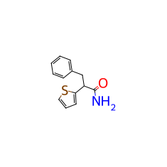 NC(=O)C(Cc1ccccc1)c1cccs1